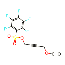 O=COCC#CCOS(=O)(=O)c1c(F)c(F)c(F)c(F)c1F